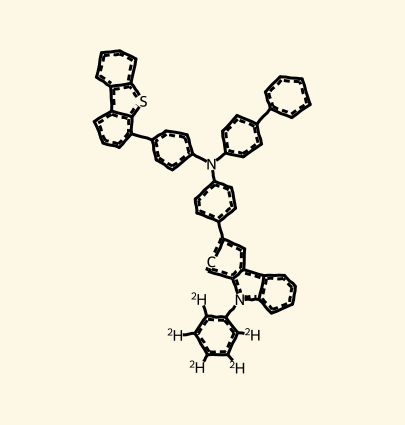 [2H]c1c([2H])c([2H])c(-n2c3ccccc3c3cc(-c4ccc(N(c5ccc(-c6ccccc6)cc5)c5ccc(-c6cccc7c6sc6ccccc67)cc5)cc4)ccc32)c([2H])c1[2H]